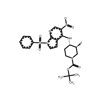 CC(C)(C)OC(=O)N1CC[C@H](Nc2c([N+](=O)[O-])cnc3c2ccn3S(=O)(=O)c2ccccc2)[C@@H](F)C1